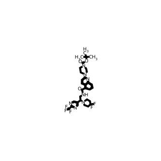 CC(C)(C)OC(=O)N1CCN(c2ccc3c(C(=O)NCC(c4cnc(C(F)(F)F)nc4)N4CCC(F)(F)CC4)cccc3n2)CC1